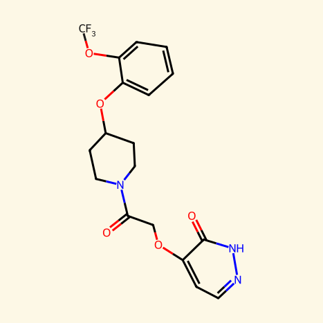 O=C(COc1ccn[nH]c1=O)N1CCC(Oc2ccccc2OC(F)(F)F)CC1